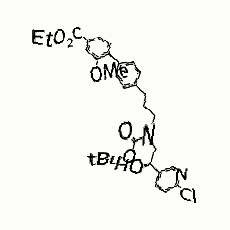 CCOC(=O)c1ccc(-c2ccc(CCCN(C[C@H](O)c3ccc(Cl)nc3)C(=O)OC(C)(C)C)cc2)c(OC)c1